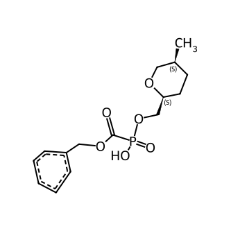 C[C@H]1CC[C@@H](COP(=O)(O)C(=O)OCc2ccccc2)OC1